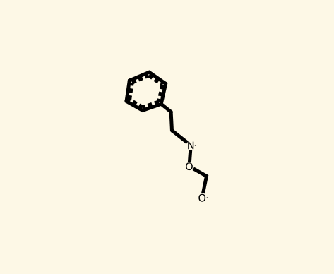 [O]CO[N]CCc1ccccc1